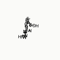 N#CC[C@]1(n2cc(-c3ncnc4[nH]ccc34)cn2)C[C@@H](N2CCC(Oc3cc(CN4CCC[C@@H]4CO)cc(C(F)(F)F)n3)CC2)C1